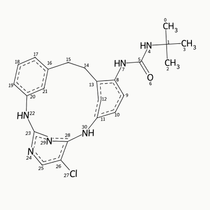 CC(C)(C)NC(=O)Nc1ccc2cc1CCc1cccc(c1)Nc1ncc(Cl)c(n1)N2